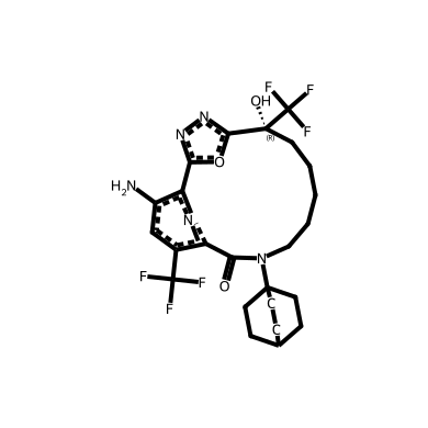 Nc1cc(C(F)(F)F)c2nc1-c1nnc(o1)[C@@](O)(C(F)(F)F)CCCCCN(C13CCC(CC1)CC3)C2=O